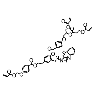 C=CC(=O)OCCC(=O)OC(COC(=O)C=C)COc1ccc(C(=O)Oc2ccc(CCOC(=O)c3ccc(OCOC(=O)C=C)cc3)cc2/C=N/Nc2nc3ccccc3s2)cc1